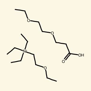 CCOCCOCCC(=O)O.CCOCC[N+](CC)(CC)CC